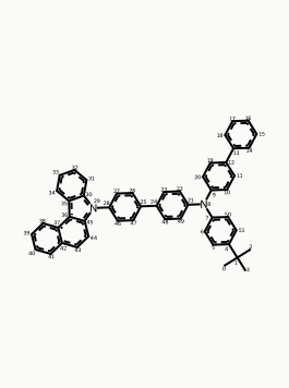 CC(C)(C)c1ccc(N(c2ccc(-c3ccccc3)cc2)c2ccc(-c3ccc(-n4c5ccccc5c5c6ccccc6ccc54)cc3)cc2)cc1